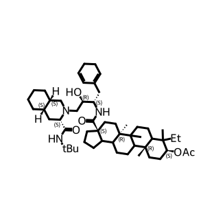 CCC1(C)C2CCC3(C)C(CCC4C5CCC[C@]5(C(=O)N[C@@H](CC5=CCCC=C5)[C@H](O)CN5C[C@H]6CCCC[C@H]6C[C@H]5C(=O)NC(C)(C)C)CC[C@]43C)[C@@]2(C)CC[C@@H]1OC(C)=O